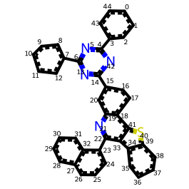 c1ccc(-c2nc(-c3ccccc3)nc(-c3ccc4c(c3)nc(-c3cccc5ccccc35)c3c5ccccc5sc43)n2)cc1